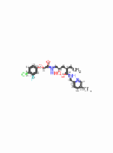 C=CC(C[C@@H](O)CNC(=O)COc1ccc(Cl)c(F)c1)C(=O)NCc1ccc(C(F)(F)F)cn1